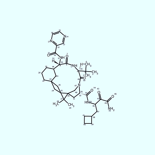 CC(C)(C)[C@@H]1NC(=O)[C@@H](NC(=O)c2cnccn2)C2CCCC3(C2)CC2(C3)C(C)(C)C23C[C@@H](C(=O)NC(CC2CCC2)C(=O)C(N)=O)N(C3)C1=O